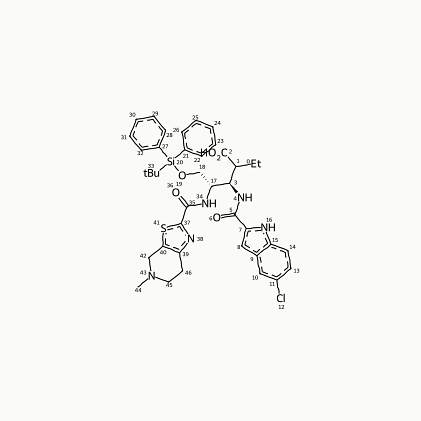 CCC(C(=O)O)[C@@H](NC(=O)c1cc2cc(Cl)ccc2[nH]1)[C@@H](CO[Si](c1ccccc1)(c1ccccc1)C(C)(C)C)NC(=O)c1nc2c(s1)CN(C)CC2